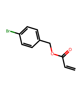 C=CC(=O)OCc1ccc(Br)cc1